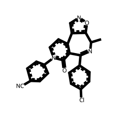 CC1N=C(c2ccc(Cl)cc2)c2c(ccn(-c3ccc(C#N)cc3)c2=O)-c2cnoc21